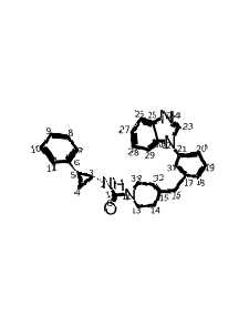 O=C(N[C@@H]1C[C@H]1c1ccccc1)N1CCC(Cc2cccc(-n3cnc4ccccc43)c2)CC1